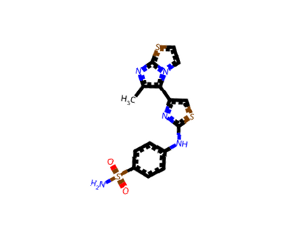 Cc1nc2sccn2c1-c1csc(Nc2ccc(S(N)(=O)=O)cc2)n1